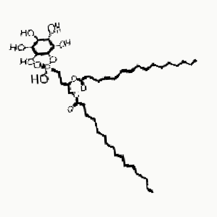 CCCCCCCCCCCCCCCC(=O)OCC(CCP(=O)(O)O[C@@H]1[C@@H](O)[C@H](O)[C@@H](O)[C@H](O)[C@@H]1O)OC(=O)CCCCCCCCCCCCCCC